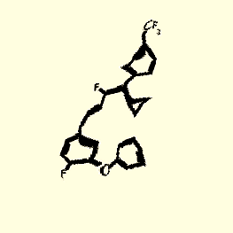 FC(C=Cc1ccc(F)c(Oc2ccccc2)c1)=C(c1ccc(C(F)(F)F)cc1)C1CC1